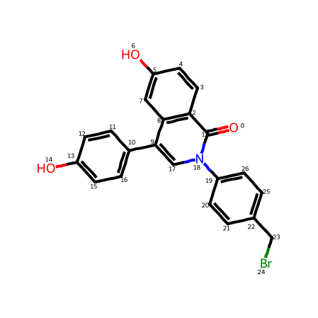 O=c1c2ccc(O)cc2c(-c2ccc(O)cc2)cn1-c1ccc(CBr)cc1